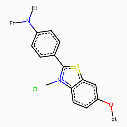 CCOc1ccc2c(c1)sc(-c1ccc(N(CC)CC)cc1)[n+]2C.[Cl-]